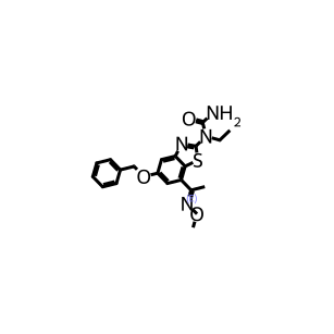 CCN(C(N)=O)c1nc2cc(OCc3ccccc3)cc(/C(C)=N/OC)c2s1